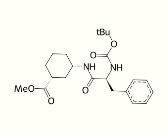 COC(=O)[C@@H]1CCC[C@H](NC(=O)[C@H](Cc2ccccc2)NC(=O)OC(C)(C)C)C1